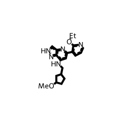 CCOc1ncccc1-c1cc(NCC2CCC(OC)C2)c2n[nH]cc2n1